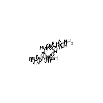 Nc1ncnc2c1ncn2[C@@H]1O[C@@H]2COP(=O)(S)O[C@H]3[C@@H](O)[C@H](n4cnc5c4ncn4ncnc54)O[C@@H]3COP(=O)(O)O[C@H]2[C@H]1F